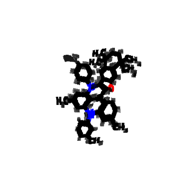 Cc1cccc(N2c3cc(C)ccc3B3c4oc5cc6c(cc5c4N(c4ccc(C(C)(C)C)cc4)c4cc(C)cc2c43)C(C)(C)CCC6(C)C)c1